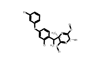 CCOC1=N[C@](C)(C(C)c2ccc(Sc3cccc(CC)c3)cc2Cl)C(OCC)=N[C@H]1C(C)C